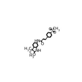 CC1(C)C(=O)Nc2cc(NC(=O)/C=C/c3ccc(S(C)(=O)=O)cc3)ccc21